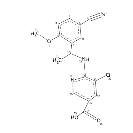 COc1ccc(C#N)cc1C(C)Nc1ncc(C(=O)O)cc1Cl